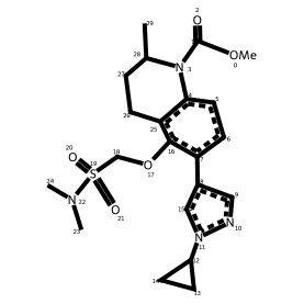 COC(=O)N1c2ccc(-c3cnn(C4CC4)c3)c(OCS(=O)(=O)N(C)C)c2CCC1C